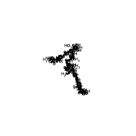 C=C1OCc2c(cc3n(c2=O)Cc2c-3nc3ccc(OCNC(=O)OCc4ccc(O[C@@H]5O[C@H](C(=O)O)[C@@H](O)[C@H](O)[C@H]5O)c(NC(=O)CN(C)C(=O)CCNC(=O)CN(CCN5C(=O)C=CC5=O)CC(=O)N[C@@H](C)C(=O)N[C@@H](CCCCN)C(=O)Nc5ccc(COC(=O)Oc6ccc7nc8c(c(CC)c7c6)Cn6c-8cc7c(c6=O)COC(=O)[C@]7(O)CC)cc5)c4)cc3c2CC)[C@@]1(O)CC